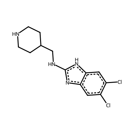 Clc1cc2nc(NCC3CCNCC3)[nH]c2cc1Cl